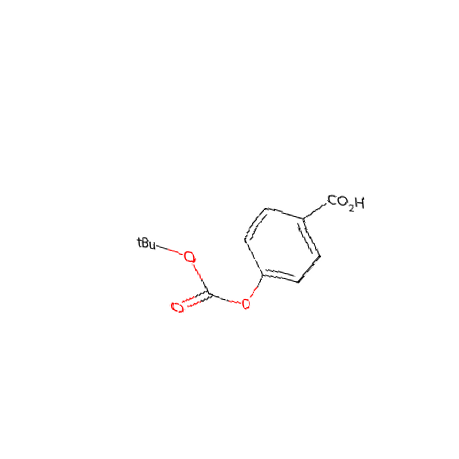 CC(C)(C)OC(=O)Oc1ccc(C(=O)O)cc1